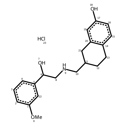 COc1cccc(C(O)CNCC2CCc3ccc(O)cc3C2)c1.Cl